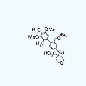 CCCCOCc1cc(NC2(C(=O)O)CCOCC2)ccc1-c1cc(OC)c(C)c(OC)c1C